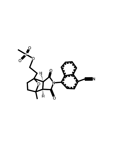 CC12CCC(CCOS(C)(=O)=O)(O1)[C@H]1C(=O)N(c3ccc(C#N)c4ccccc34)C(=O)[C@H]12